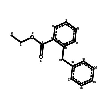 CCOC(=O)c1ccccc1Cc1ccccc1